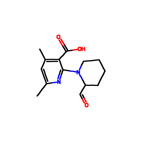 Cc1cc(C)c(C(=O)O)c(N2CCCCC2C=O)n1